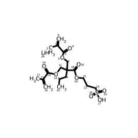 C=C(C)C(=O)OCC(CCC)(COC(=O)C(=C)C)C(=O)OCCCS(=O)(=O)O.[LiH]